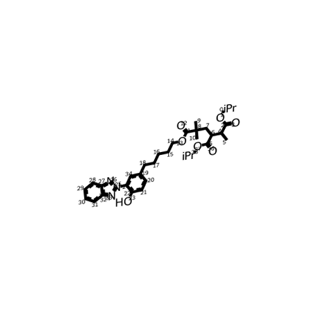 CC(C)OC(=O)C(C)C(CC(C)(C)C(=O)OCCCCCc1ccc(O)c(-n2nc3ccccc3n2)c1)C(=O)OC(C)C